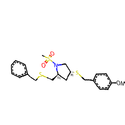 COc1ccc(CS[C@@H]2C[C@@H](CSCc3ccccc3)N(S(C)(=O)=O)C2)cc1